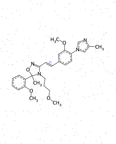 COCCCN1C(/C=C/c2ccc(-n3cnc(C)c3)c(OC)c2)=NOC1(C)c1ccccc1OC